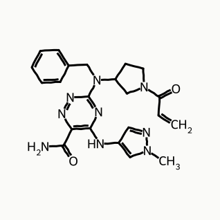 C=CC(=O)N1CCC(N(Cc2ccccc2)c2nnc(C(N)=O)c(Nc3cnn(C)c3)n2)C1